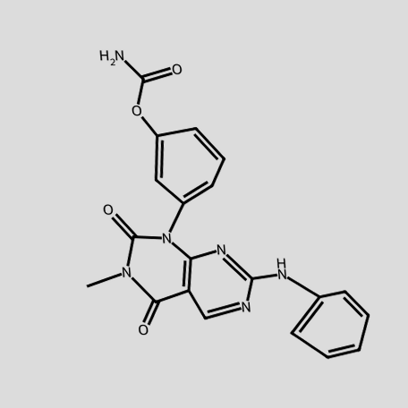 Cn1c(=O)c2cnc(Nc3ccccc3)nc2n(-c2cccc(OC(N)=O)c2)c1=O